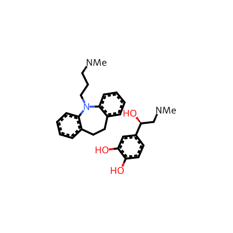 CNCCCN1c2ccccc2CCc2ccccc21.CNC[C@H](O)c1ccc(O)c(O)c1